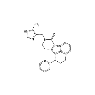 Cc1[nH]cnc1CN1CCc2c3c4c(cccn4c2C1=O)CCC3c1ccccc1